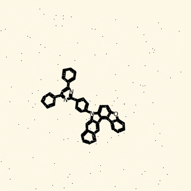 c1ccc(-c2cc(-c3ccccc3)nc(-c3ccc(-n4c5cc6ccccc6cc5c5c6c(ccc54)oc4ccccc46)cc3)n2)cc1